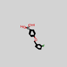 OB(O)c1ccc(OCc2cccc(F)c2)cc1